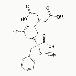 N#CSC(Cc1ccccc1)(C(=O)O)N(CCN(CC(=O)O)CC(=O)O)CC(=O)O